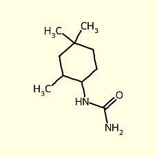 CC1CC(C)(C)CCC1NC(N)=O